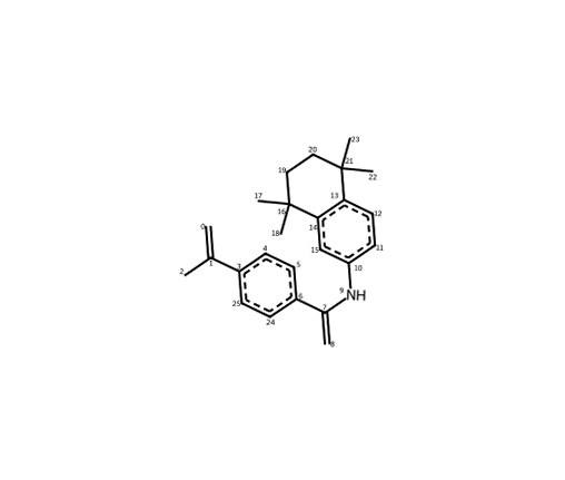 C=C(C)c1ccc(C(=C)Nc2ccc3c(c2)C(C)(C)CCC3(C)C)cc1